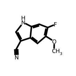 COc1cc2c(C#N)c[nH]c2cc1F